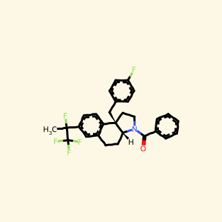 CC(F)(c1ccc2c(c1)CC[C@H]1N(C(=O)c3ccccc3)CC[C@@]21Cc1ccc(F)cc1)C(F)(F)F